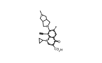 C#Cc1c(N2CC3CN(C)CC3C2)c(F)cc2c(=O)c(C(=O)O)cn(C3CC3)c12